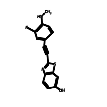 CNc1ccc(C#Cc2nc3ccc(O)cc3s2)cc1F